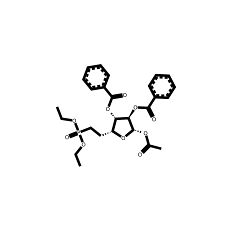 CCOP(=O)(CC[C@H]1O[C@@H](OC(C)=O)[C@H](OC(=O)c2ccccc2)[C@H]1OC(=O)c1ccccc1)OCC